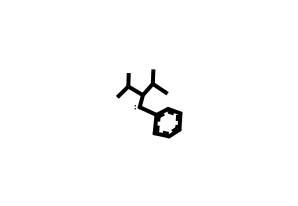 CC(C)C([C]c1ccccc1)C(C)C